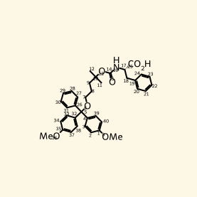 COc1ccc(C(OCCCC(C)(C)OC(=O)N[C@@H](Cc2ccccc2)C(=O)O)(c2ccccc2)c2ccc(OC)cc2)cc1